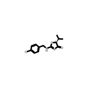 CC(C)[C@@H]1OC(NCc2ccc(Cl)cc2)=NC1=O